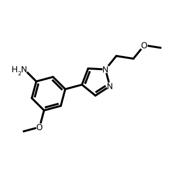 COCCn1cc(-c2cc(N)cc(OC)c2)cn1